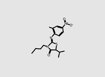 CCCCN1C(=O)C(C(C)C)SC1=Nc1ccc([N+](=O)[O-])cc1C